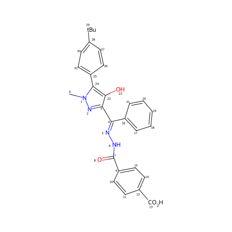 Cn1nc(/C(=N/NC(=O)c2ccc(C(=O)O)cc2)c2ccccc2)c(O)c1-c1ccc(C(C)(C)C)cc1